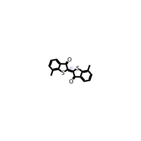 Cc1cccc2c1S/C(=C1/Sc3c(C)cccc3C1=O)C2=O